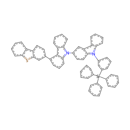 c1ccc([Si](c2ccccc2)(c2ccccc2)c2cccc(-n3c4ccccc4c4cc(-n5c6ccccc6c6c(-c7ccc8c(c7)sc7ccccc78)cccc65)ccc43)c2)cc1